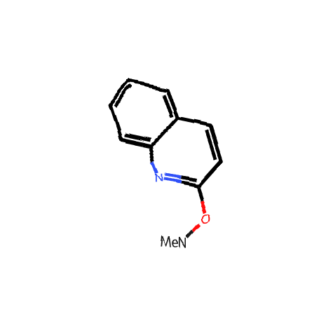 CNOc1ccc2ccccc2n1